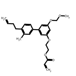 C=CCCc1ccc(-c2cc(OCCOC(=O)C=C)cc(OCOC)c2)cc1C